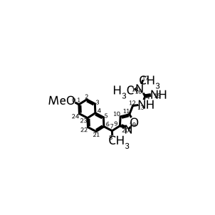 COc1ccc2cc(C(C)c3cc(CNC(=N)N(C)C)on3)ccc2c1